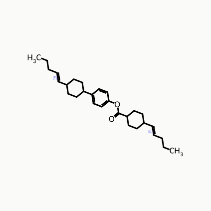 CCC/C=C/C1CCC(C(=O)Oc2ccc(C3CCC(/C=C/CCC)CC3)cc2)CC1